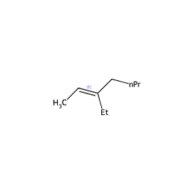 [CH2]CCC/C(=C/C)CC